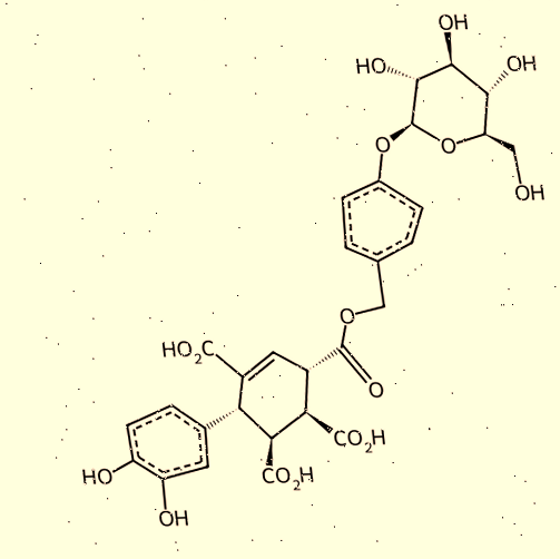 O=C(O)C1=C[C@H](C(=O)OCc2ccc(O[C@@H]3O[C@H](CO)[C@@H](O)[C@H](O)[C@H]3O)cc2)[C@@H](C(=O)O)[C@@H](C(=O)O)[C@@H]1c1ccc(O)c(O)c1